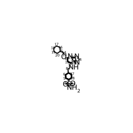 NS(=O)(=O)c1ccc(CNc2cc(OCC3CCCCC3)nc3ncnn23)cc1